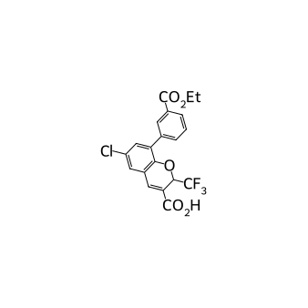 CCOC(=O)c1cccc(-c2cc(Cl)cc3c2OC(C(F)(F)F)C(C(=O)O)=C3)c1